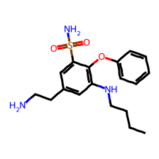 CCCCNc1cc(CCN)cc(S(N)(=O)=O)c1Oc1ccccc1